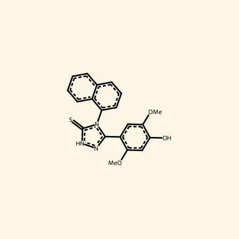 COc1cc(-c2n[nH]c(=S)n2-c2cccc3ccccc23)c(OC)cc1O